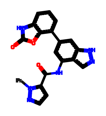 CC(C)n1nccc1C(=O)Nc1cc(-c2cccc3[nH]c(=O)oc23)cc2[nH]ncc12